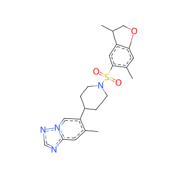 Cc1cc2ncnn2cc1C1CCN(S(=O)(=O)c2cc3c(cc2C)OCC3C)CC1